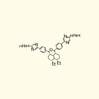 CCCCCCc1cnc(-c2ccc(C(OC(c3ccc(-c4cnc(CCCCCC)cn4)cc3)[C@H]3CC[C@H](CC)CC3)[C@H]3CC[C@H](CC)CC3)cc2)cn1